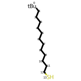 CC(C)(C)CCCCCCCCCCCCS